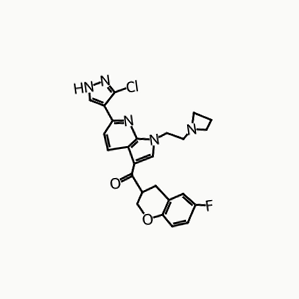 O=C(c1cn(CCN2CCC2)c2nc(-c3c[nH]nc3Cl)ccc12)C1COc2ccc(F)cc2C1